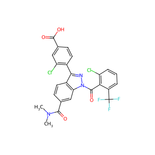 CN(C)C(=O)c1ccc2c(-c3ccc(C(=O)O)cc3Cl)nn(C(=O)c3c(Cl)cccc3C(F)(F)F)c2c1